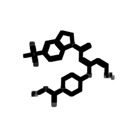 C=C(/C=C(\C=C/N)OC1CCN(C(=O)OC(C)C)CC1)N1CCc2cc(S(C)(=O)=O)ccc21